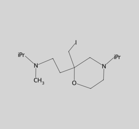 CC(C)N(C)CCC1(CI)CN(C(C)C)CCO1